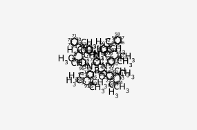 CC1(C)CCC(C)(C)c2cc(N3c4cc5c(cc4B4c6oc7cc8c(cc7c6N(c6ccc7c(c6)C(C)(C)CCC7(C)C)c6cc(N(c7ccc(C(C)(C)c9ccccc9)cc7)c7ccc(C(C)(C)c9ccccc9)cc7)cc3c64)C(C)(C)CCC8(C)C)C(C)(C)CCC5(C)C)ccc21